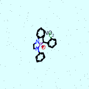 O=[N+]([O-])CC(c1ccccc1F)P1(=O)N(c2ccccc2)CCN1c1ccccc1